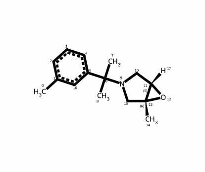 Cc1cccc(C(C)(C)N2C[C@@H]3O[C@]3(C)C2)c1